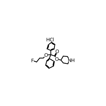 Cl.O=C(OC1CCNCC1)C(OCCCF)(c1ccccc1)c1ccccc1